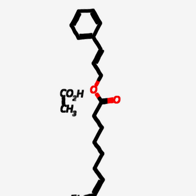 CC(=O)O.CC/C=C\CCCCCC(=O)OC/C=C/c1ccccc1